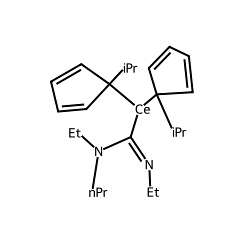 CCCN(CC)[C](=NCC)[Ce]([C]1(C(C)C)C=CC=C1)[C]1(C(C)C)C=CC=C1